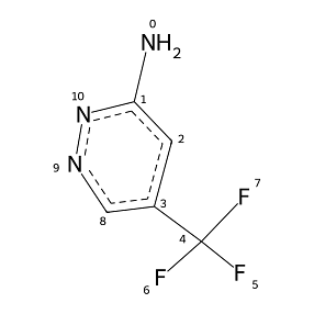 Nc1cc(C(F)(F)F)cnn1